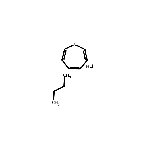 C1=CC=CNC=C1.CCCC.Cl